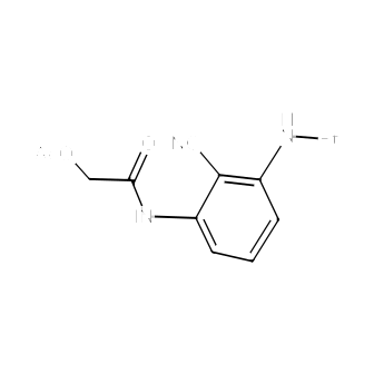 CCNc1cccc(NC(=O)COC(C)=O)c1C#N